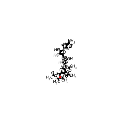 CC(=O)OC[C@H](OC(C)=O)C1OC(OP(=O)(O)OP(=O)(O)OCC2OC(n3cnc4c(N)ncnc43)C(O)C2O)C(OC(C)=O)C(OC(C)=O)C1OC(C)=O